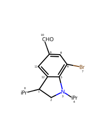 CC(C)C1CN(C(C)C)c2c(Br)cc(C=O)cc21